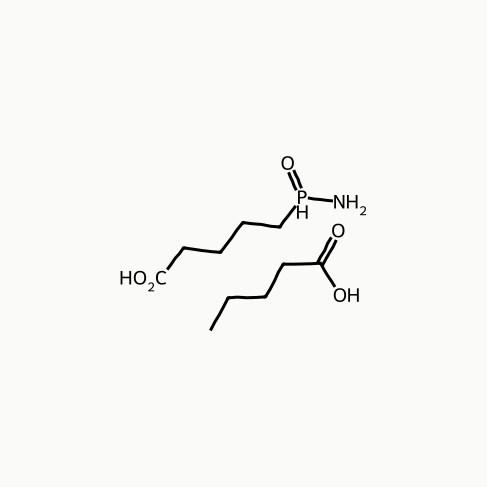 CCCCC(=O)O.N[PH](=O)CCCCC(=O)O